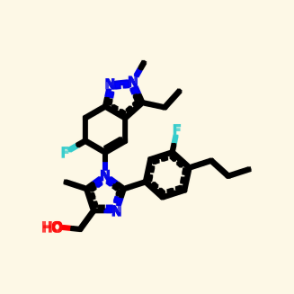 CCCc1ccc(-c2nc(CO)c(C)n2C2=Cc3c(nn(C)c3CC)CC2F)cc1F